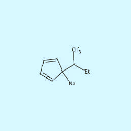 CCC(C)[C]1([Na])C=CC=C1